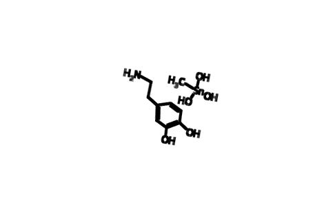 NCCc1ccc(O)c(O)c1.[CH3][Sn]([OH])([OH])[OH]